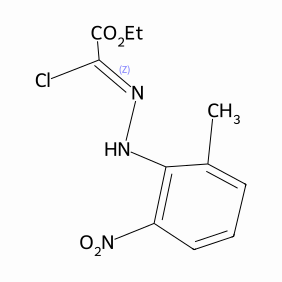 CCOC(=O)/C(Cl)=N/Nc1c(C)cccc1[N+](=O)[O-]